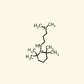 CN(C)CCCNN1C(C)(C)CCCC1(C)C